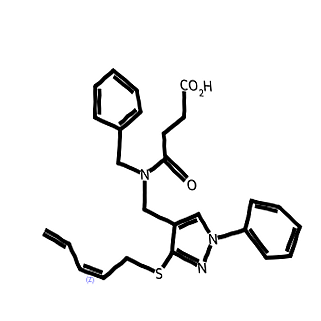 C=C/C=C\CSc1nn(-c2ccccc2)cc1CN(Cc1ccccc1)C(=O)CCC(=O)O